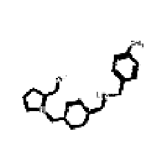 Cc1ccc(CNCC2CCC(CN3CCCC3CO)CC2)cc1